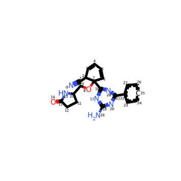 N#CC1C=CC=CC1(OCC1CCC(=O)N1)c1nc(N)nc(-c2ccccc2)n1